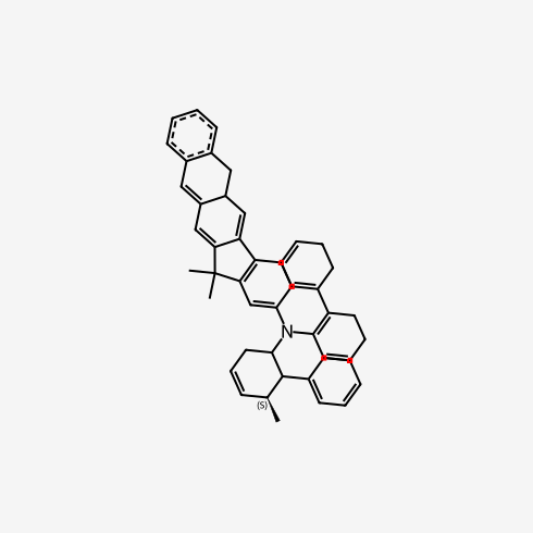 C[C@H]1C=CCC(N(C2=CC3=C(CC2)C2=CC4Cc5ccccc5C=C4C=C2C3(C)C)C2=C(C3=CC=CCC3)CCC=C2)C1C1=CC=CCC1